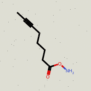 CC#CCCCCC(=O)ON